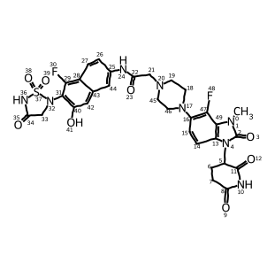 Cn1c(=O)n(C2CCC(=O)NC2=O)c2ccc(N3CCN(CC(=O)Nc4ccc5c(F)c(N6CC(=O)NS6(=O)=O)c(O)cc5c4)CC3)c(F)c21